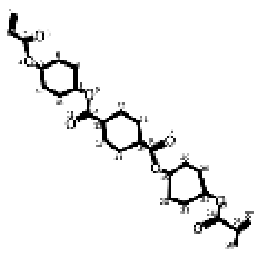 C=CC(=O)OC1CCC(OC(=O)C2CCC(C(=O)OC3CCC(OC(=O)C(=C)C)CC3)CC2)CC1